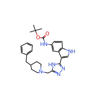 CC(C)(C)OC(=O)Nc1ccc2[nH]cc(-c3nnc(CN4CCC(Cc5ccccc5)CC4)[nH]3)c2c1